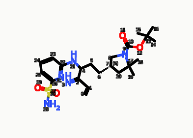 C=CC(=N)C(CC[C@@H]1CN(C(=O)OC(C)(C)C)C(C)(C)C1)Nc1cccc(S(N)(=O)=O)n1